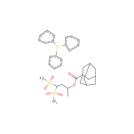 CC(CC(S(=O)(=O)C(F)(F)F)S(=O)(=O)C(F)(F)F)OC(=O)C12CC3CC(CC(C3)C1)C2.c1ccc([S+](c2ccccc2)c2ccccc2)cc1